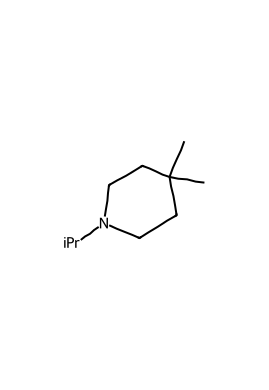 CC(C)N1CCC(C)(C)CC1